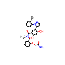 Cc1ccccc1-n1nccc1-c1cc(C(=O)N(C)Cc2ccccc2OCC(N)=O)c(O)cc1O